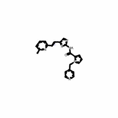 Cc1cccc(/C=C/c2csc(NC(=O)c3cccn3Cc3ccncc3)n2)n1